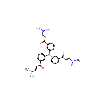 CN(C)C=CC(=O)c1cccc(P(c2cccc(C(=O)C=CN(C)C)c2)c2cccc(C(=O)C=CN(C)C)c2)c1